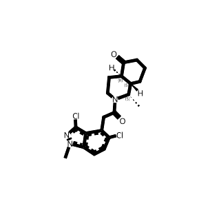 C[C@H]1[C@H]2CCCC(=O)[C@@H]2CCN1C(=O)Cc1c(Cl)ccc2c1c(Cl)nn2C